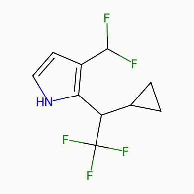 FC(F)c1cc[nH]c1C(C1CC1)C(F)(F)F